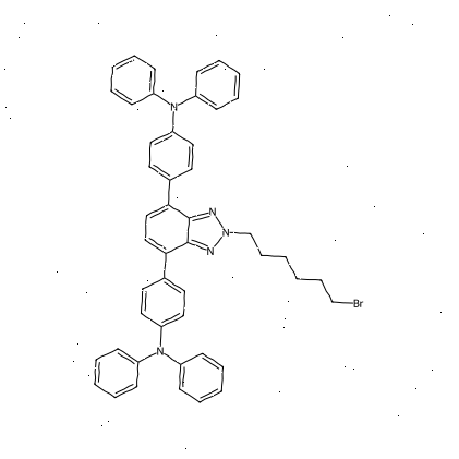 BrCCCCCCn1nc2c(-c3ccc(N(c4ccccc4)c4ccccc4)cc3)ccc(-c3ccc(N(c4ccccc4)c4ccccc4)cc3)c2n1